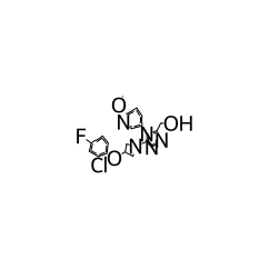 COc1ccc(-n2c(CO)nnc2N2CC(Oc3ccc(F)cc3Cl)C2)cn1